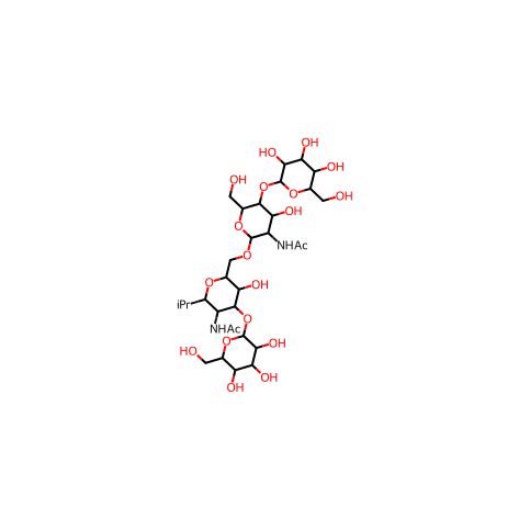 CC(=O)NC1C(OCC2OC(C(C)C)C(NC(C)=O)C(OC3OC(CO)C(O)C(O)C3O)C2O)OC(CO)C(OC2OC(CO)C(O)C(O)C2O)C1O